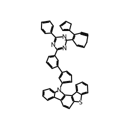 C1#CC(C2=CC=CC2)=C(c2nc(-c3ccccc3)nc(-c3cccc(-c4cccc(-n5c6ccccc6c6ccc7sc8ccccc8c7c65)c4)c3)n2)C=CC1